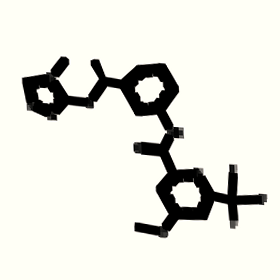 COc1cc(C(=O)Nc2cccc([C@H](C)Sc3nncn3C)c2)nc(C(F)(F)F)c1